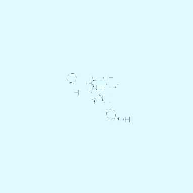 C[C@H](N[C@@H](CCc1ccccc1)C(=O)O)C(=O)N(CC(=O)O)C1Cc2ccc(O)cc2C1